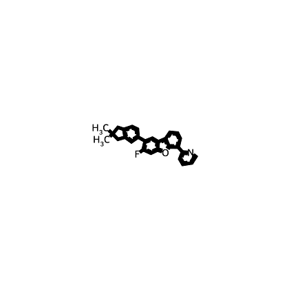 CC1(C)Cc2ccc(-c3cc4c(cc3F)oc3c(-c5ccccn5)cccc34)cc2C1